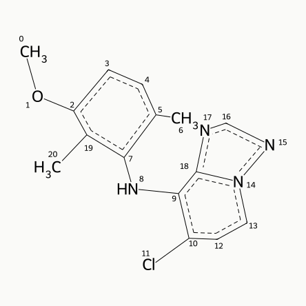 COc1ccc(C)c(Nc2c(Cl)ccn3ncnc23)c1C